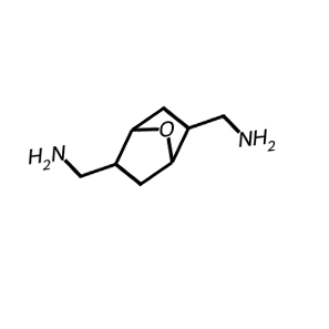 NCC1CC2OC1CC2CN